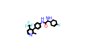 Cc1nccc(C(F)(F)F)c1-c1ccc(NC(=O)[C@@H](N)C2CC=C(F)CC2)cc1